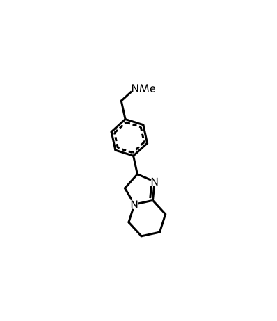 CNCc1ccc(C2CN3CCCCC3=N2)cc1